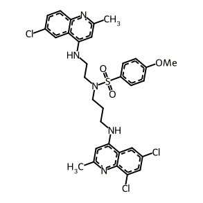 COc1ccc(S(=O)(=O)N(CCCNc2cc(C)nc3c(Cl)cc(Cl)cc23)CCNc2cc(C)nc3ccc(Cl)cc23)cc1